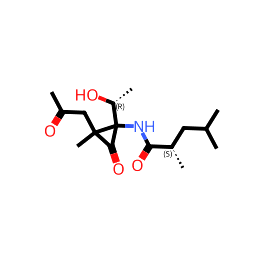 CC(=O)CC1(C)C(=O)C1(NC(=O)[C@@H](C)CC(C)C)[C@@H](C)O